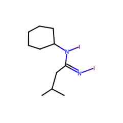 CC(C)C/C(=N/I)N(I)C1CCCCC1